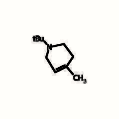 CC1=CCN(C(C)(C)C)CC1